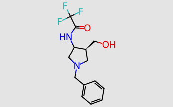 O=C(NC1CN(Cc2ccccc2)C[C@@H]1CO)C(F)(F)F